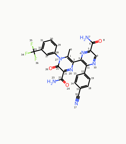 Cc1c(-c2nc(C(N)=O)cnc2-c2ccc(C#N)cc2)nc(C(N)=O)c(=O)n1-c1cccc(C(F)(F)F)c1